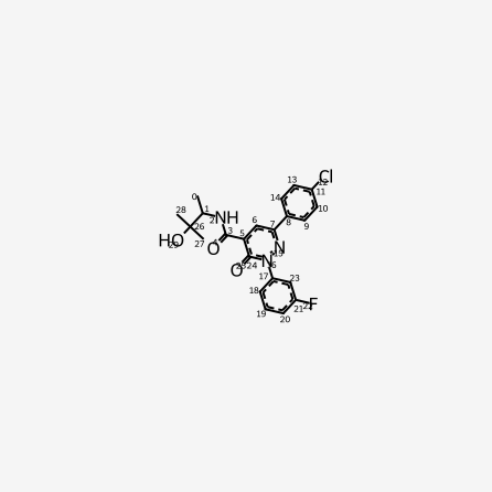 CC(NC(=O)c1cc(-c2ccc(Cl)cc2)nn(-c2cccc(F)c2)c1=O)C(C)(C)O